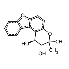 CC1(C)Oc2ccc3oc4ccccc4c3c2[C@H](O)[C@H]1O